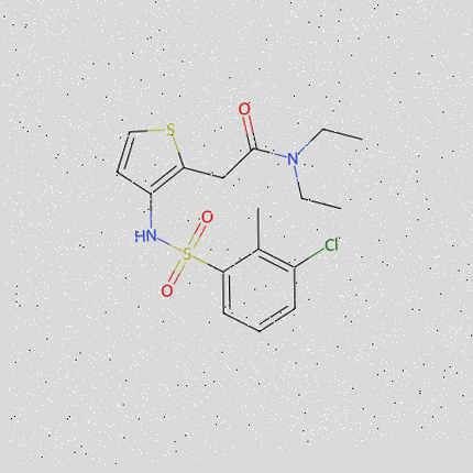 CCN(CC)C(=O)Cc1sccc1NS(=O)(=O)c1cccc(Cl)c1C